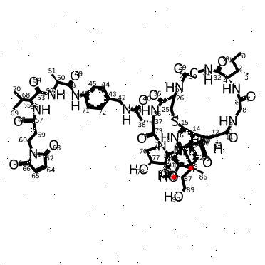 CC[C@H](C)[C@@H]1NC(=O)CNC(=O)[C@@H]2Cc3c([nH]c4cc(O)ccc34)SCC(NC(=O)CNC1=O)C(=O)N[C@@H](CC(=O)NCc1ccc(NC(=O)[C@H](C)NC(=O)C(NC(=O)CCN3C(=O)C=CC3=O)C(C)C)cc1)C(=O)N1C[C@H](O)C[C@]1(C=O)N[C@@H]([C@@H](C)[C@@H](O)CO)C(=O)N2